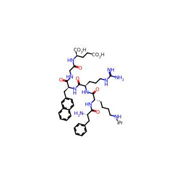 CC(C)NCCCC[C@H](NC(=O)[C@@H](N)Cc1ccccc1)C(=O)N[C@H](CCCNC(=N)N)C(=O)N[C@@H](Cc1ccc2ccccc2c1)C(=O)NCC(=O)N[C@H](CCC(=O)O)C(=O)O